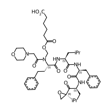 CC(C)C[C@H](NC(=O)[C@H](CCc1ccccc1)N(COC(=O)CCCCC(=O)O)C(=O)CN1CCOCC1)C(=O)N[C@@H](Cc1ccccc1)C(=O)N[C@@H](CC(C)C)C(=O)[C@@]1(C)CO1